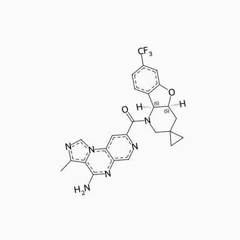 Cc1ncn2c1c(N)nc1cnc(C(=O)N3CC4(CC4)C[C@@H]4Oc5cc(C(F)(F)F)ccc5[C@@H]43)cc12